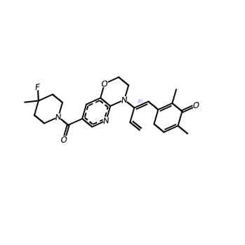 C=C/C(=C\C1=C(C)C(=O)C(C)=CC1)N1CCOc2cc(C(=O)N3CCC(C)(F)CC3)cnc21